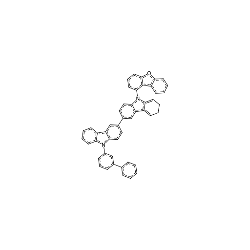 C1=c2c(n(-c3cccc4oc5ccccc5c34)c3ccc(-c4ccc5c(c4)c4ccccc4n5-c4cccc(-c5ccccc5)c4)cc23)=CCC1